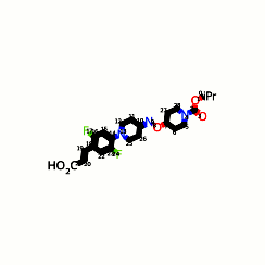 CC(C)OC(=O)N1CCC(ON=C2CCN(c3cc(F)c(C=CC(=O)O)cc3F)CC2)CC1